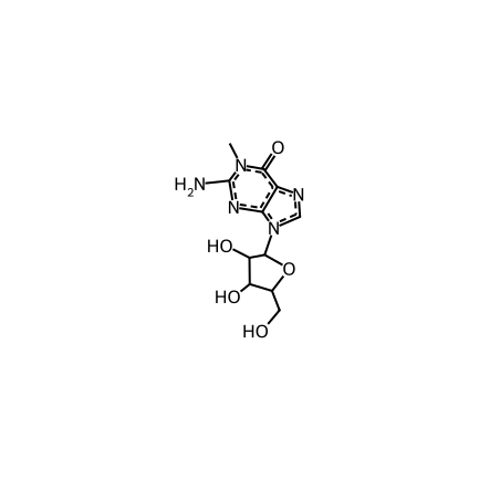 Cn1c(N)nc2c(ncn2C2OC(CO)C(O)C2O)c1=O